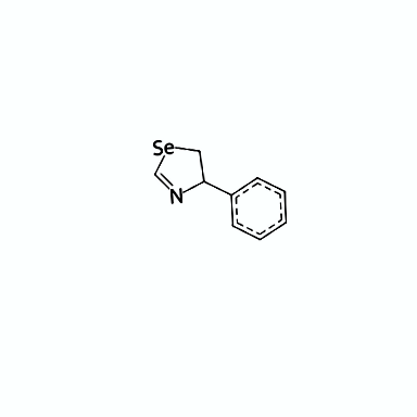 C1=NC(c2ccccc2)C[Se]1